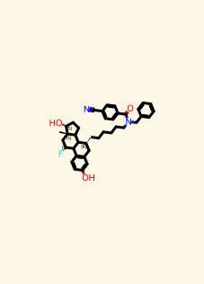 C[C@]12C[C@H](F)C3c4ccc(O)cc4C[C@@H](CCCCCCN(Cc4ccccc4)C(=O)c4ccc(C#N)cc4)C3C1CC[C@@H]2O